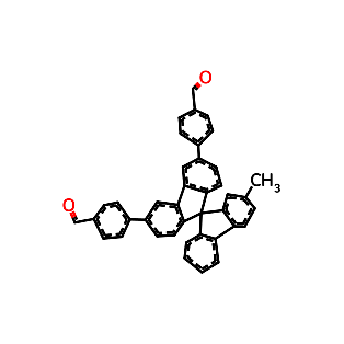 Cc1ccc2c(c1)C1(c3ccccc3-2)c2ccc(-c3ccc(C=O)cc3)cc2-c2cc(-c3ccc(C=O)cc3)ccc21